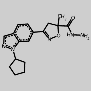 CC1(C(=O)NN)CC(c2ccc3cnn(C4CCCC4)c3c2)=NO1